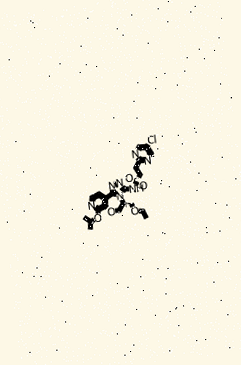 CCOC[C@@H]1COc2c(ccnc2OC(C)C)-c2nnc(NS(=O)(=O)CCc3ncc(Cl)cn3)n21